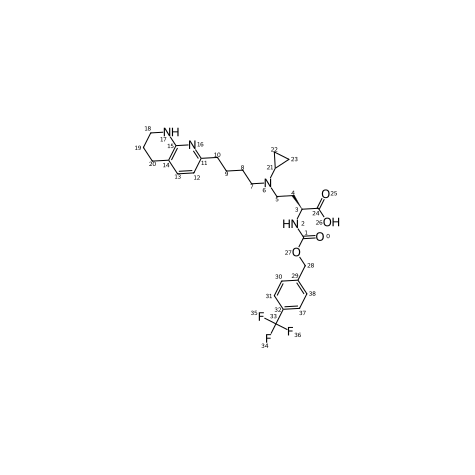 O=C(N[C@@H](CCN(CCCCc1ccc2c(n1)NCCC2)C1CC1)C(=O)O)OCc1ccc(C(F)(F)F)cc1